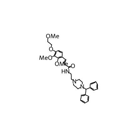 COCCOc1ccc(C=CC(=O)NCCN2CCN(C(c3ccccc3)c3ccccc3)CC2)c(OC)c1OC